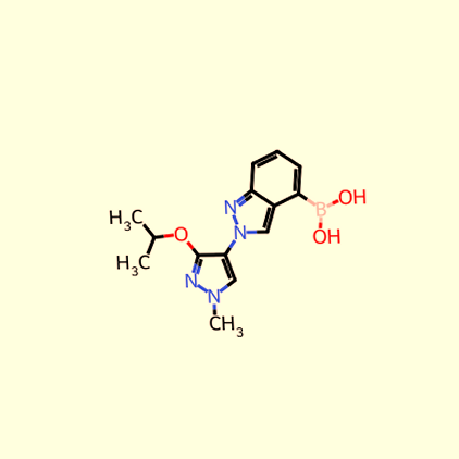 CC(C)Oc1nn(C)cc1-n1cc2c(B(O)O)cccc2n1